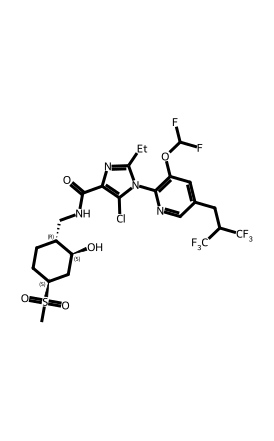 CCc1nc(C(=O)NC[C@H]2CC[C@H](S(C)(=O)=O)C[C@@H]2O)c(Cl)n1-c1ncc(CC(C(F)(F)F)C(F)(F)F)cc1OC(F)F